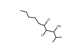 CCCCCC(Cl)C(Cl)C(O)C(C)C